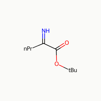 C[CH]CC(=N)C(=O)OC(C)(C)C